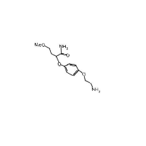 COCCC(Oc1ccc(OCCN)cc1)C(N)=O